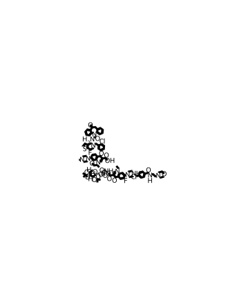 CC1(C)O[C@@H]2[C@@H](CO[C@@]3(COS(N)(=O)=O)OC(C)(C)O[C@@H]23)O1.CC1COc2c(N3CCN(C)CC3)c(F)cc3c(=O)c(C(=O)O)cn1c23.CCn1cc(C(=O)O)c(=O)c2cc(F)c(N3CCNCC3)cc21.Clc1ccccc1CN1CCc2sccc2C1.NC(=O)N1c2ccccc2CC(=O)c2ccccc21.O=C(NCCN1CCOCC1)c1ccc(Cl)cc1